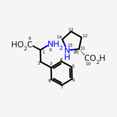 NC(Cc1ccccc1)C(=O)O.O=C(O)[C@H]1CCCN1